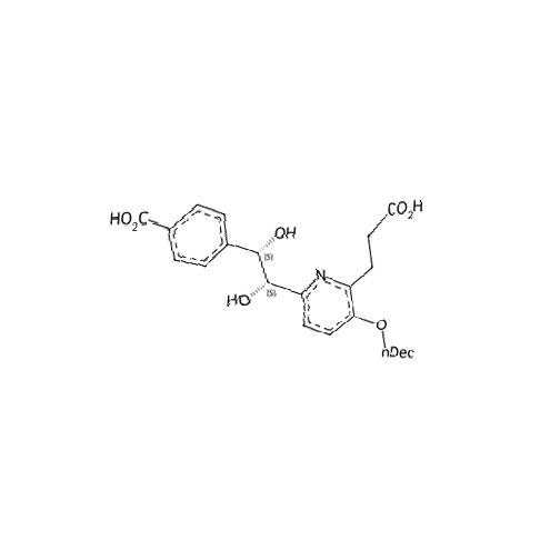 CCCCCCCCCCOc1ccc([C@H](O)[C@@H](O)c2ccc(C(=O)O)cc2)nc1CCC(=O)O